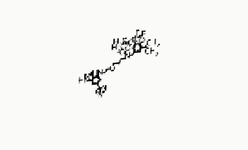 C=C(C)c1cc(CN(CCCCOCCNc2cc(-c3ncno3)cc3[nH]ncc23)C(=O)OC(C)(C)C)cc(F)c1OC(F)(F)F